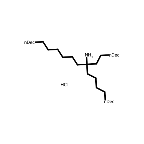 CCCCCCCCCCCCCCCCC(N)(CCCCCCCCCCCC)CCCCCCCCCCCCCC.Cl